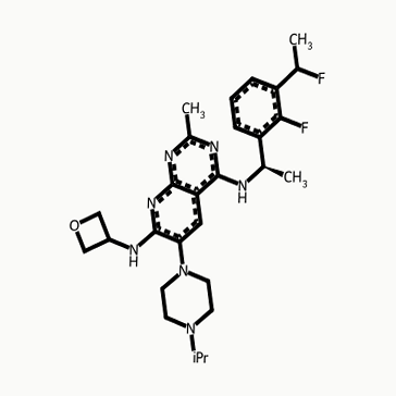 Cc1nc(N[C@H](C)c2cccc(C(C)F)c2F)c2cc(N3CCN(C(C)C)CC3)c(NC3COC3)nc2n1